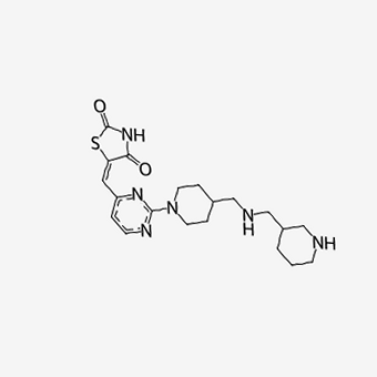 O=C1NC(=O)/C(=C\c2ccnc(N3CCC(CNCC4CCCNC4)CC3)n2)S1